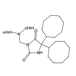 CCCCCCN(CCCCCC)CN1C(=O)NC(C2CCCCCCC2)(C2CCCCCCC2)C1=O